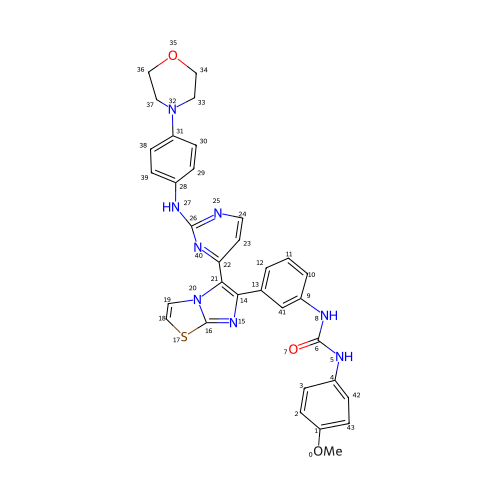 COc1ccc(NC(=O)Nc2cccc(-c3nc4sccn4c3-c3ccnc(Nc4ccc(N5CCOCC5)cc4)n3)c2)cc1